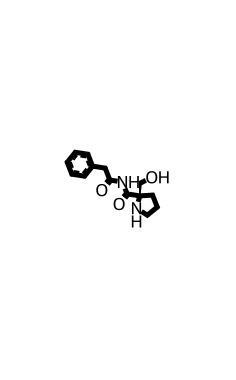 O=C(Cc1ccccc1)NC(=O)[C@]1(CO)CCCN1